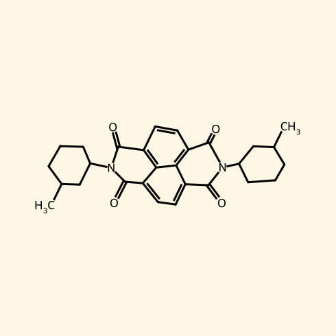 CC1CCCC(N2C(=O)c3ccc4c5c(ccc(c35)C2=O)C(=O)N(C2CCCC(C)C2)C4=O)C1